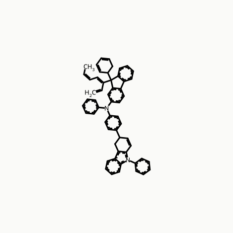 C=C/C(=C\C=C/C)C1(C2C=CC=CC2)c2ccccc2-c2ccc(N(c3ccccc3)c3ccc(C4C=Cc5c(c6ccccc6n5-c5ccccc5)C4)cc3)cc21